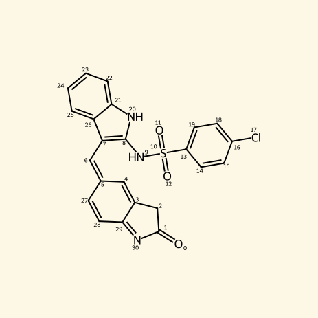 O=C1Cc2c/c(=C\c3c(NS(=O)(=O)c4ccc(Cl)cc4)[nH]c4ccccc34)ccc2=N1